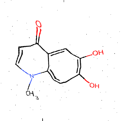 Cn1ccc(=O)c2cc(O)c(O)cc21